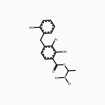 CCN(CC)C(C)OC(=O)c1ccc(Cc2ccccc2O)c(C(C)=O)c1O